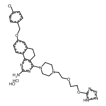 Cl.Cl.Nc1nc2c(c(N3CCN(CCOCCOc4nnn[nH]4)CC3)n1)CCc1cc(OCc3ccc(Cl)cc3)ccc1-2